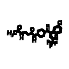 CC(=O)NCCC(=O)N[C@H]1CC[C@@H](Nc2cc(C(F)(F)F)nc3ccc(Cl)cc23)CC1